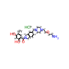 CC(C)c1cc(C(=O)N2Cc3ccc(CN4CCN(CCOCCN)CC4)cc3C2)c(O)cc1O.Cl